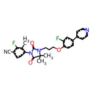 Cc1c(N2C(=O)N(CCCOc3ccc(-c4ccncc4)cc3F)C(C)(C)C2=O)ccc(C#N)c1F